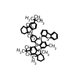 Cc1cc2c3c(c1)N1c4c(cc(C(C)(C)C)cc4C4(C)CCCCC14C)B3C1CCC(N3c4ccc(C(C)(C)C)cc4C4(C)CCCCC34C)CC1N2c1cccc2c1sc1ccccc12